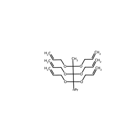 C=CCOC(C)(OCC=C)C(OCC=C)(OCC=C)C(CCC)(OCC=C)OCC=C